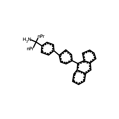 CCCC(N)(CCC)c1ccc(-c2ccc(-c3c4ccccc4cc4ccccc34)cc2)cc1